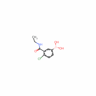 CCNC(=O)c1cc(B(O)O)ccc1Cl